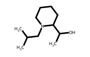 CC(C)CN1CCCCC1C(C)O